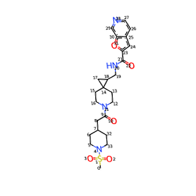 CS(=O)(=O)N1CCC(CC(=O)N2CCC3(CC2)CC3CNC(=O)c2cc3ccncc3o2)CC1